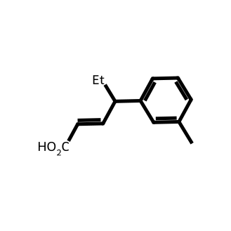 CCC(/C=C/C(=O)O)c1cccc(C)c1